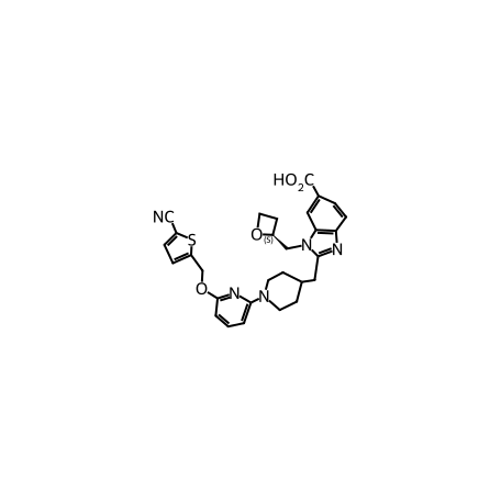 N#Cc1ccc(COc2cccc(N3CCC(Cc4nc5ccc(C(=O)O)cc5n4C[C@@H]4CCO4)CC3)n2)s1